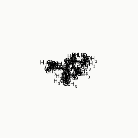 CCC(OC(=O)CCC(=O)C[SH](=P)=S)C(=O)N(CCN(CCNC(=O)CCCCO[C@@H]1OC(COC(C)=O)[C@H](OC(C)=O)[C@H](C)C1NC(C)=O)C(=O)CCCCC[C@@H]1OC(COC(C)=O)[C@H](OC(C)=O)[C@H](C)C1NC(C)=O)CCN(CCNC(=O)CCCCO[C@@H]1OC(COC(C)=O)[C@H](OC(C)=O)[C@H](C)C1NC(C)=O)C(=O)CCCCO[C@@H]1OC(COC(C)=O)[C@H](OC(C)=O)[C@H](C)C1NC(C)=O